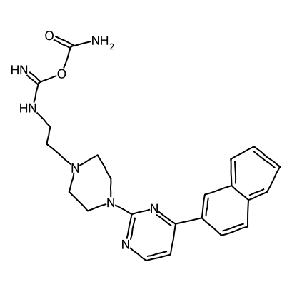 N=C(NCCN1CCN(c2nccc(-c3ccc4ccccc4c3)n2)CC1)OC(N)=O